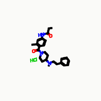 CCC(=O)Nc1ccc(C(=O)N2CCC(N(C)CCc3ccccc3)CC2)c(C)c1.Cl